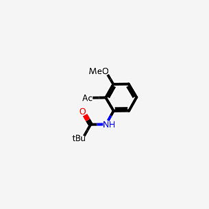 COc1cccc(NC(=O)C(C)(C)C)c1C(C)=O